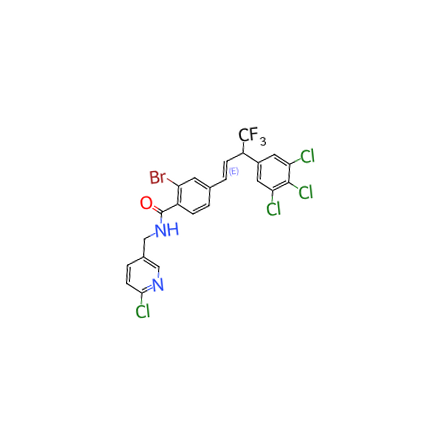 O=C(NCc1ccc(Cl)nc1)c1ccc(/C=C/C(c2cc(Cl)c(Cl)c(Cl)c2)C(F)(F)F)cc1Br